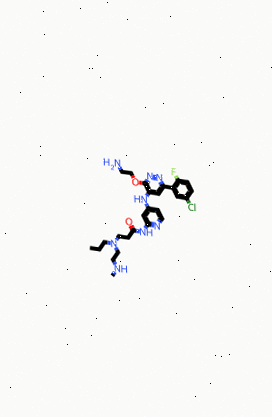 CCCN(CCNC)CCC(=O)Nc1cc(Nc2cc(-c3cc(Cl)ccc3F)nnc2OCCN)ccn1